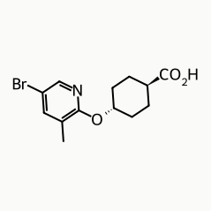 Cc1cc(Br)cnc1O[C@H]1CC[C@H](C(=O)O)CC1